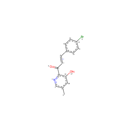 Cc1cnc(C(=O)/C=C/c2ccc(Br)cc2)c(O)c1